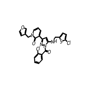 O=C(c1ccccc1Cl)n1nc(-c2cccn(Cc3ccoc3)c2=O)cc1NCc1ccc(Cl)s1